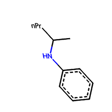 [CH2]CCC(C)Nc1ccccc1